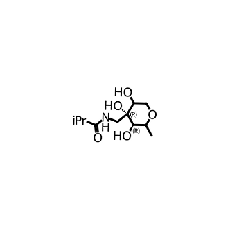 CC(C)C(=O)NC[C@@]1(O)C(O)COC(C)[C@H]1O